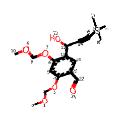 COCOc1cc(OCOC)c(C(O)C#C[Si](C)(C)C)cc1C=O